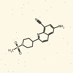 CS(=O)(=O)N1CCC(c2ccc3cc(N)cc(C#N)c3n2)CC1